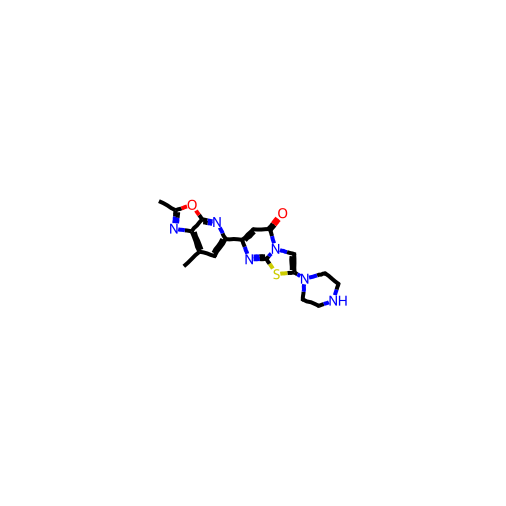 Cc1nc2c(C)cc(-c3cc(=O)n4cc(N5CCNCC5)sc4n3)nc2o1